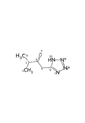 CC(C)C(=O)Cc1nnn[nH]1